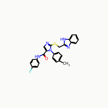 Cc1ccc(-n2c(C(=O)Nc3ccc(F)cc3)cnc2SCc2nc3ccccc3[nH]2)cc1